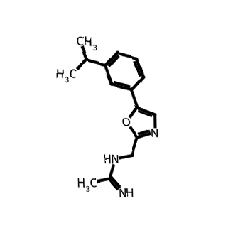 CC(=N)NCc1ncc(-c2cccc(C(C)C)c2)o1